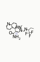 CCC(N=CN(/C=C(/C(N)=O)c1cccc2ncccc12)NC)C(F)(F)F